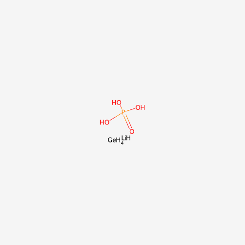 O=P(O)(O)O.[GeH4].[LiH]